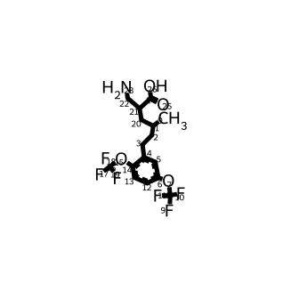 CC(CCc1cc(OC(F)(F)F)ccc1OC(F)(F)F)CC(CN)C(=O)O